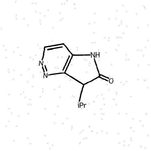 CC(C)C1C(=O)Nc2ccnnc21